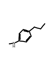 CCCc1ccc(NC)cc1